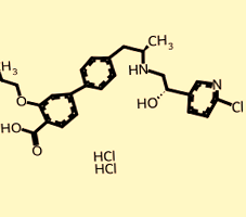 CCCOc1cc(-c2ccc(C[C@@H](C)NC[C@@H](O)c3ccc(Cl)nc3)cc2)ccc1C(=O)O.Cl.Cl